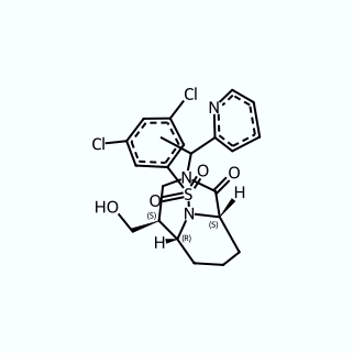 CC(c1ccccn1)N1C[C@H](CO)[C@H]2CCC[C@@H](C1=O)N2S(=O)(=O)c1cc(Cl)cc(Cl)c1